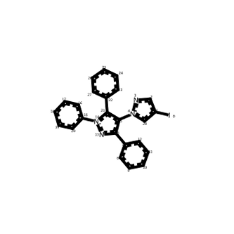 Ic1cnn(-c2c(-c3ccccc3)nn(-c3ccccc3)c2-c2ccccc2)c1